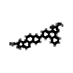 Cc1nc2c(ccc3c4ccc(-c5ccc6c(c5)c5cncnc5c5nc(C)[nH]c65)cc4ccc32)[nH]1